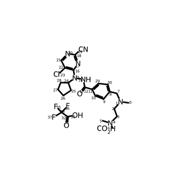 CN(CCN(C)C(=O)O)Cc1ccc(C(=O)NN(c2nc(C#N)ncc2Cl)C2CCCC2)cc1.O=C(O)C(F)(F)F